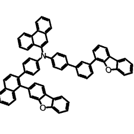 c1cc(-c2ccc(N(c3ccc(-c4ccc5ccccc5c4-c4ccc5c(c4)oc4ccccc45)cc3)c3cc4ccccc4c4ccccc34)cc2)cc(-c2cccc3c2oc2ccccc23)c1